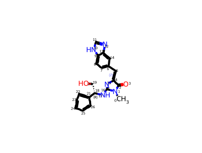 CN1C(=O)/C(=C/c2ccc3[nH]cnc3c2)N=C1N[C@@H](CO)c1ccccc1